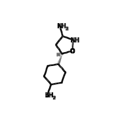 BC1CCC([C@@H]2CC(N)NO2)CC1